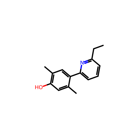 CCc1cccc(-c2cc(C)c(O)cc2C)n1